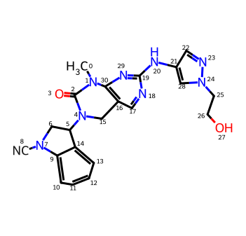 CN1C(=O)N(C2CN(C#N)c3ccccc32)Cc2cnc(Nc3cnn(CCO)c3)nc21